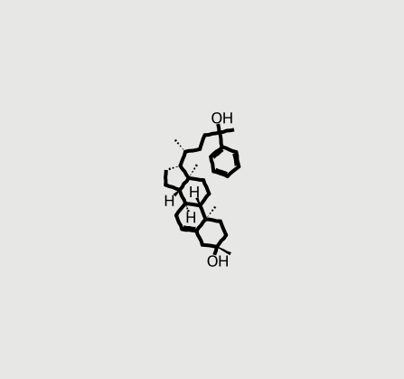 C[C@H](CCC(C)(O)c1ccccc1)[C@H]1CC[C@H]2[C@@H]3CC=C4C[C@@](C)(O)CC[C@]4(C)[C@H]3CC[C@]12C